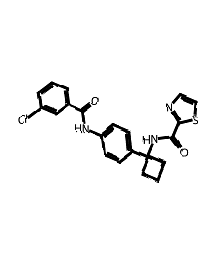 O=C(Nc1ccc(C2(NC(=O)c3nccs3)CCC2)cc1)c1cccc(Cl)c1